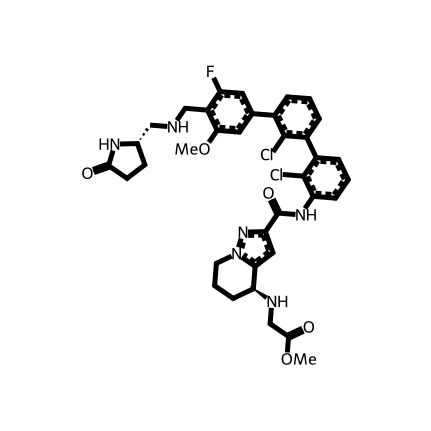 COC(=O)CN[C@H]1CCCn2nc(C(=O)Nc3cccc(-c4cccc(-c5cc(F)c(CNC[C@@H]6CCC(=O)N6)c(OC)c5)c4Cl)c3Cl)cc21